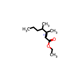 CCCC(C)/C(C)=C/C(=O)OCC